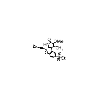 CCS(=O)(=O)c1ccc(OCC#CC2CC2)c(-c2c[nH]c(=O)c(OC)c2C)c1